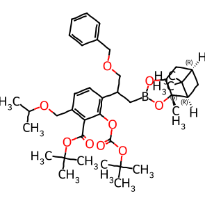 CC(C)OCc1ccc(C(COCc2ccccc2)CB2OC3C[C@H]4C[C@H](C4(C)C)[C@]3(C)O2)c(OC(=O)OC(C)(C)C)c1C(=O)OC(C)(C)C